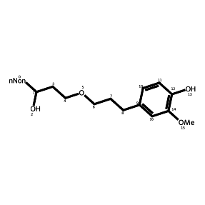 CCCCCCCCCC(O)CCOCCCc1ccc(O)c(OC)c1